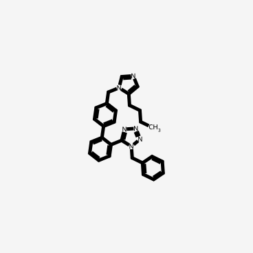 CCCCc1cncn1Cc1ccc(-c2ccccc2-c2nnnn2Cc2ccccc2)cc1